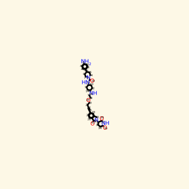 Nc1ccc(C2CCN(C(=O)N[C@H]3CC[C@@H](NCCOCCC#Cc4ccc5c(c4)CN(C4CCC(=O)NC4=O)C5=O)CC3)CC2)cc1